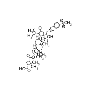 CC(C)C1=C2[C@H]3CC[C@@H]4[C@@]5(C)CC[C@H](OC(=O)[C@H]6C[C@@H](C(=O)O)C6(C)C)C(C)(C)[C@@H]5CC[C@@]4(C)[C@]3(C)CC[C@@]2([C@@H](O)CNCc2ccc(S(C)(=O)=O)cc2)CC1=O